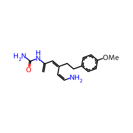 C=C(/C=C(\C=C/N)CCc1ccc(OC)cc1)NC(N)=O